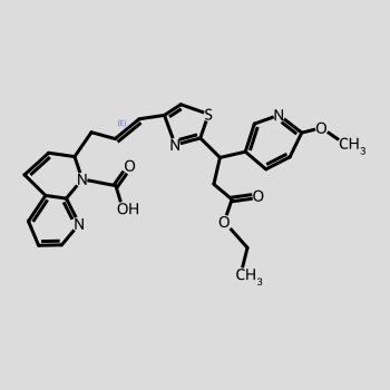 CCOC(=O)CC(c1ccc(OC)nc1)c1nc(/C=C/CC2C=Cc3cccnc3N2C(=O)O)cs1